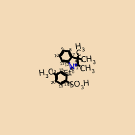 CC[N+]1=C(C)C(C)(C)c2ccccc21.Cc1ccc(S(=O)(=O)O)cc1